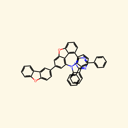 c1ccc(-c2nc(-c3ccccc3)nc(-c3cccc4oc5cc(-c6ccc7oc8ccccc8c7c6)cc(-n6c7ccccc7c7ccccc76)c5c34)n2)cc1